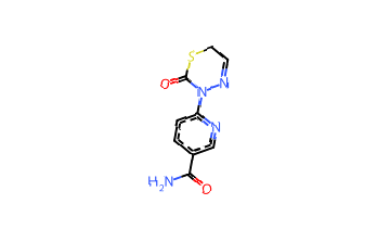 NC(=O)c1ccc(N2N=CCSC2=O)nc1